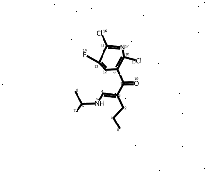 CCCC(=CNC(C)C)C(=O)c1cc(F)c(Cl)nc1Cl